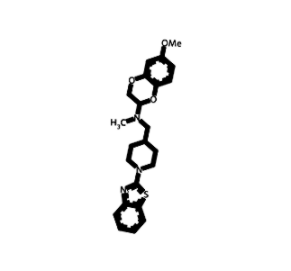 COc1ccc2c(c1)OCC(N(C)CC1CCN(c3nc4ccccc4s3)CC1)O2